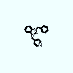 [CH]1N(Cc2ccccc2)c2ccccc2N1Cc1ccncc1